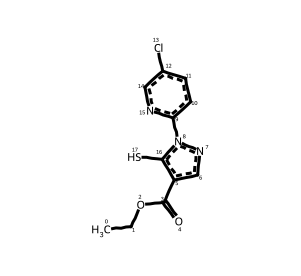 CCOC(=O)c1cnn(-c2ccc(Cl)cn2)c1S